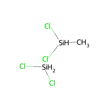 C[SiH](Cl)Cl.Cl[SiH2]Cl